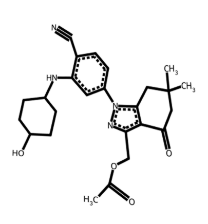 CC(=O)OCc1nn(-c2ccc(C#N)c(NC3CCC(O)CC3)c2)c2c1C(=O)CC(C)(C)C2